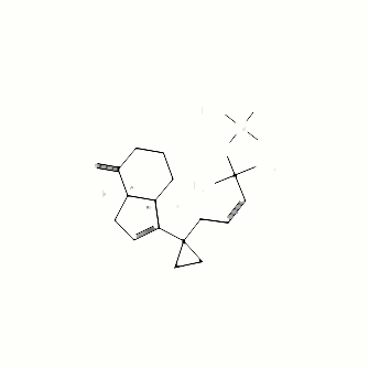 C[C@@]12CCCC(=O)[C@@H]1CC=C2C1(C/C=C\C(O[Si](C)(C)C)(C(F)(F)F)C(F)(F)F)CC1